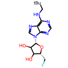 CC(C)(C)CNc1ncnc2c1ncn2[C@@H]1O[C@H](CF)C(O)C1O